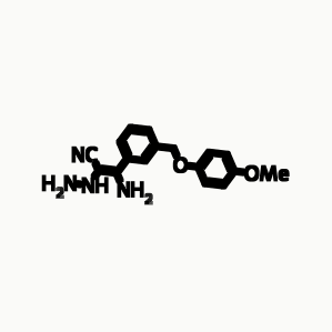 COc1ccc(OCc2cccc(/C(N)=C(\C#N)NN)c2)cc1